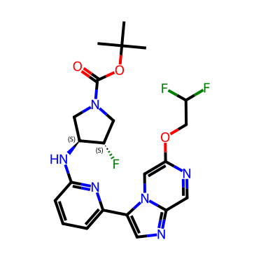 CC(C)(C)OC(=O)N1C[C@H](Nc2cccc(-c3cnc4cnc(OCC(F)F)cn34)n2)[C@@H](F)C1